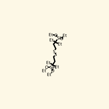 CCO[SiH](OCC)C(CC)(CC)CCSSCCC(CC)(CC)[SiH](OCC)OCC